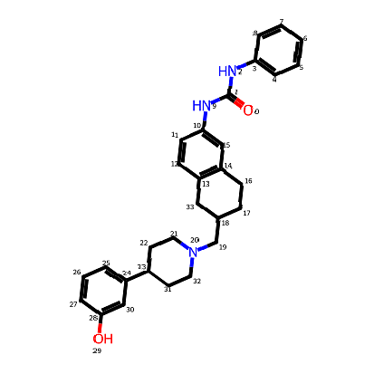 O=C(Nc1ccccc1)Nc1ccc2c(c1)CCC(CN1CCC(c3cccc(O)c3)CC1)C2